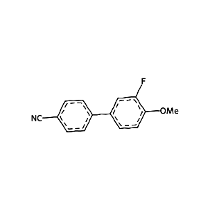 COc1ccc(-c2ccc(C#N)cc2)cc1F